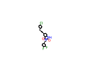 O=c1[nH]c2ccc(C#CCc3ccc(Cl)cc3)cc2c(=O)n1CCc1ccc(F)c(F)c1